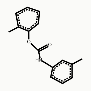 Cc1cccc(NC(=O)Oc2ccccc2C)c1